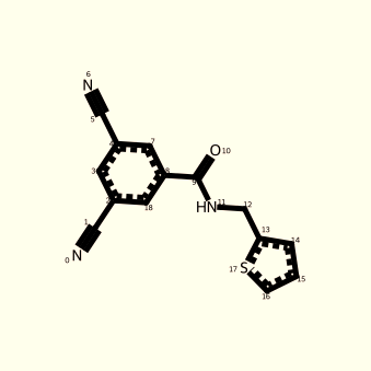 N#Cc1cc(C#N)cc(C(=O)NCc2cccs2)c1